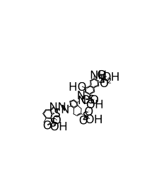 Cc1ccc2nc(N=Nc3ccc(N=Nc4c(S(=O)(=O)O)cc5cc(S(=O)(=O)O)c(N)cc5c4O)c4c3CC=C(S(=O)(=O)O)C4)sc2c1S(=O)(=O)O